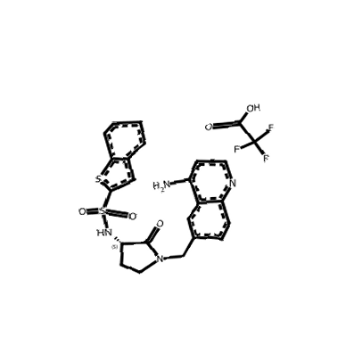 Nc1ccnc2ccc(CN3CC[C@H](NS(=O)(=O)c4cc5ccccc5s4)C3=O)cc12.O=C(O)C(F)(F)F